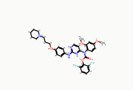 COc1ccc(N(C(=O)Oc2c(F)cccc2F)c2ccnc(Nc3ccc(OCCCN4CCCCC4)cc3)n2)c(OC)c1